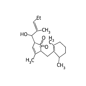 CC/C=C(\C)C(O)C1C=C(C)C(CC2=C(C)CCCC2C)S1(=O)=O